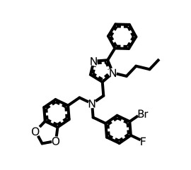 CCCCn1c(CN(Cc2ccc(F)c(Br)c2)Cc2ccc3c(c2)OCO3)cnc1-c1ccccc1